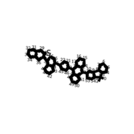 CC1(C)c2ccccc2-c2cc(-c3c4ccccc4c(-c4ccc(-c5cc6sc7cc8ccccc8cc7c6c6ccccc56)cc4)c4ccccc34)ccc21